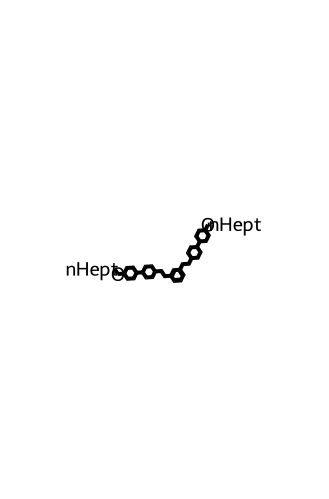 CCCCCCCOC1CCC(C2CCC(CCc3cccc(CCC4CCC(C5CCC(OCCCCCCC)CC5)CC4)c3)CC2)CC1